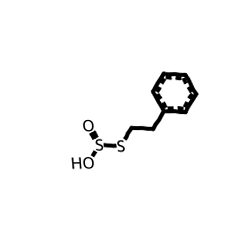 O=S(O)SCCc1ccccc1